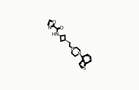 O=C(N[C@H]1C[C@H](CCN2CCN(c3cccc4sccc34)CC2)C1)c1ncco1